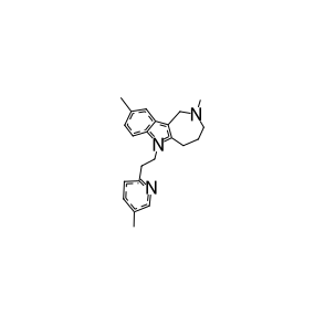 Cc1ccc(CCn2c3c(c4cc(C)ccc42)CN(C)CCC3)nc1